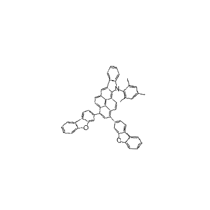 Cc1cc(C)c(-n2c3ccccc3c3cc4ccc5c(-c6ccc7c(c6)oc6ccccc67)cc(-c6ccc7c(c6)oc6ccccc67)c6ccc(c4c56)c32)c(C)c1